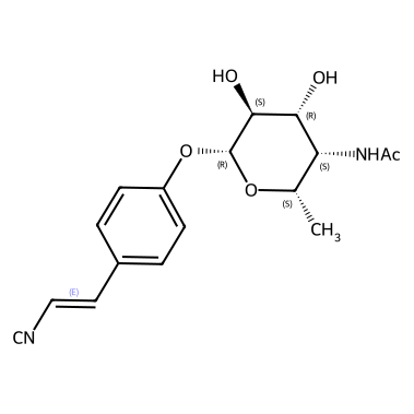 [C-]#[N+]/C=C/c1ccc(O[C@H]2O[C@@H](C)[C@@H](NC(C)=O)[C@@H](O)[C@@H]2O)cc1